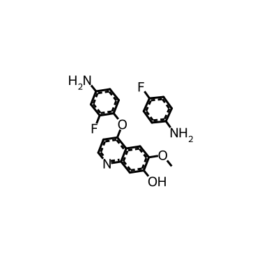 COc1cc2c(Oc3ccc(N)cc3F)ccnc2cc1O.Nc1ccc(F)cc1